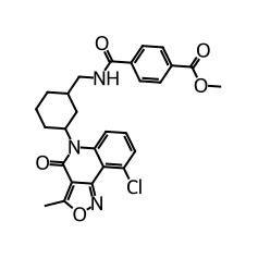 COC(=O)c1ccc(C(=O)NCC2CCCC(n3c(=O)c4c(C)onc4c4c(Cl)cccc43)C2)cc1